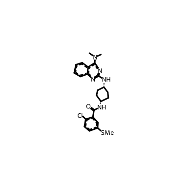 CSc1ccc(Cl)c(C(=O)N[C@H]2CC[C@@H](Nc3nc(N(C)C)c4ccccc4n3)CC2)c1